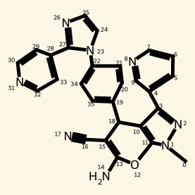 Cn1nc(-c2cccnc2)c2c1OC(N)=C(C#N)C2c1ccc(-n2ccnc2-c2ccncc2)cc1